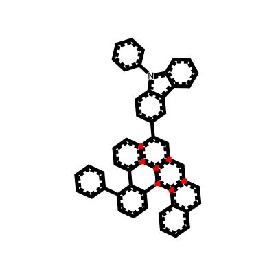 c1ccc(-c2ccccc2-c2c(-c3ccccc3)cccc2N(c2ccc(-c3ccc4c(c3)c3ccccc3n4-c3ccccc3)cc2)c2cccc3ccccc23)cc1